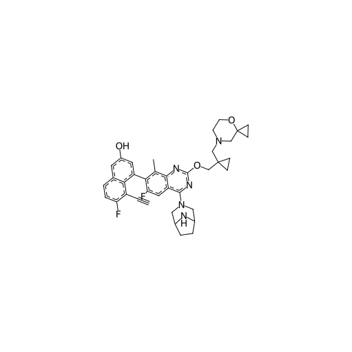 C#Cc1c(F)ccc2cc(O)cc(-c3c(F)cc4c(N5CC6CCC(C5)N6)nc(OCC5(CN6CCOC7(CC7)C6)CC5)nc4c3C)c12